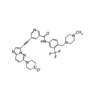 CN1CCN(Cc2ccc(NC(=O)c3cncc(C#Cc4cnc5ccc(N6CC[S+]([O-])CC6)nn45)c3)cc2C(F)(F)F)CC1